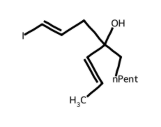 CC=CC(O)(C/C=C/I)CCCCCC